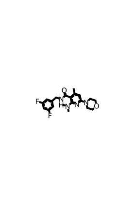 Cc1cc(N2CCOCC2)nc(N(C)C)c1C(=O)NCc1cc(F)cc(F)c1